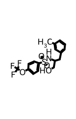 Cc1cccc(CC(CO)NS(=O)(=O)c2ccc(OC(F)(F)F)cc2)c1